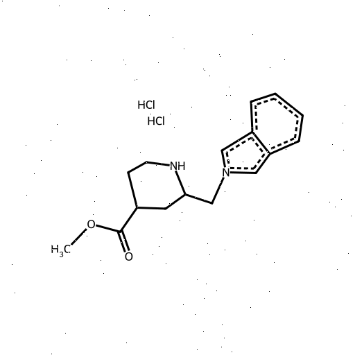 COC(=O)C1CCNC(Cn2cc3ccccc3c2)C1.Cl.Cl